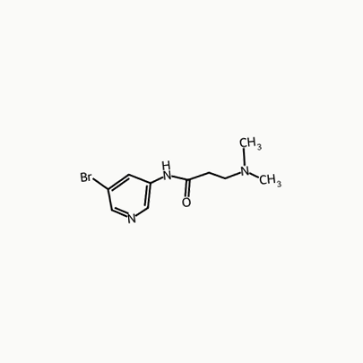 CN(C)CCC(=O)Nc1cncc(Br)c1